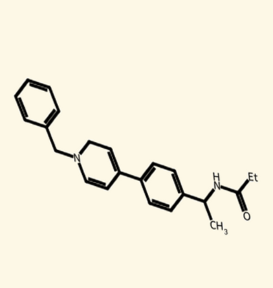 CCC(=O)NC(C)c1ccc(C2=CCN(Cc3ccccc3)C=C2)cc1